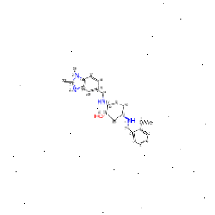 COc1ccccc1CN[C@@H]1CC[C@@H](NCc2ccc3c(c2)nc(C)n3C)[C@@H](O)C1